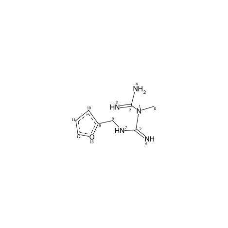 CN(C(=N)N)C(=N)NCc1ccco1